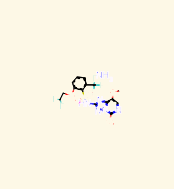 COc1cnc(OC)n2nc(NS(=O)(=O)c3c(OCC(F)F)cccc3C(F)(F)F)nc12.N